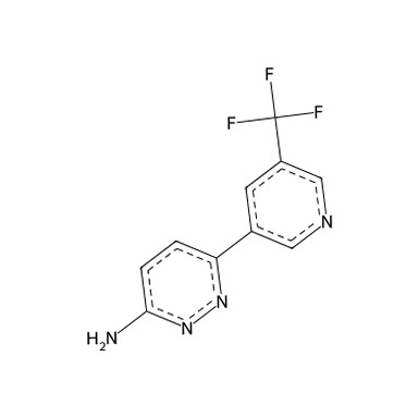 Nc1ccc(-c2cncc(C(F)(F)F)c2)nn1